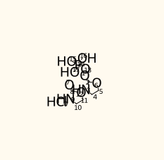 Cl.O=C1NCCO1.O=C1NCCO1.O=P(O)(O)O